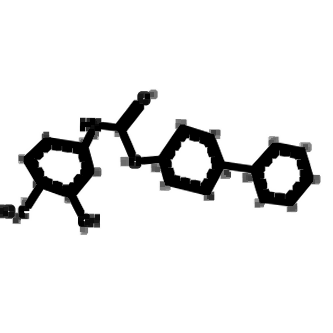 O=C(Nc1ccc(C(=O)O)c(O)c1)Oc1ccc(-c2ccccc2)cc1